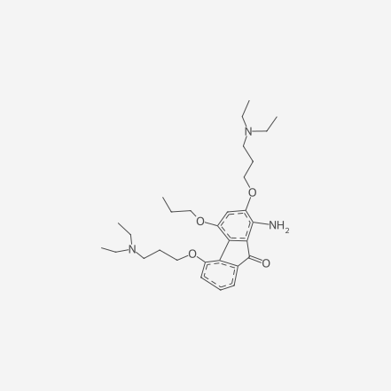 CCCOc1cc(OCCCN(CC)CC)c(N)c2c1-c1c(OCCCN(CC)CC)cccc1C2=O